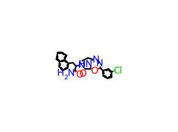 NC(=O)C(Cc1cccc2ccccc12)N1CCC2N=NC(c3cccc(Cl)c3)OC(N2)C1=O